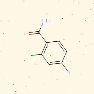 NC(=O)c1ccc(I)cc1F